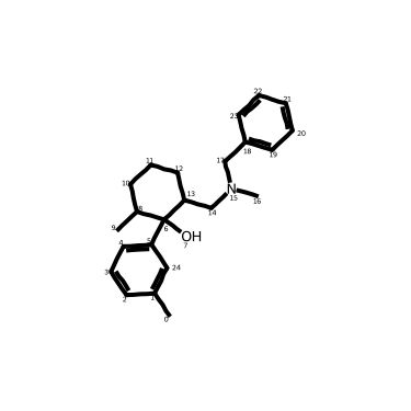 Cc1cccc(C2(O)C(C)CCCC2CN(C)Cc2ccccc2)c1